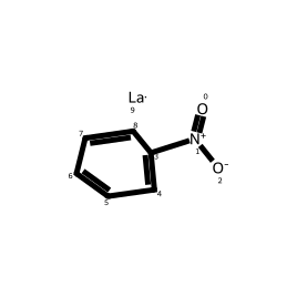 O=[N+]([O-])c1ccccc1.[La]